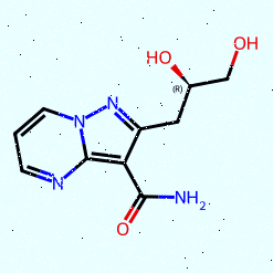 NC(=O)c1c(C[C@@H](O)CO)nn2cccnc12